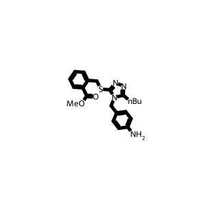 CCCCc1nnc(SCc2ccccc2C(=O)OC)n1Cc1ccc(N)cc1